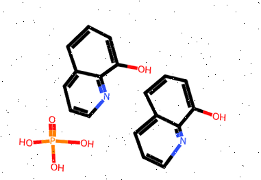 O=P(O)(O)O.Oc1cccc2cccnc12.Oc1cccc2cccnc12